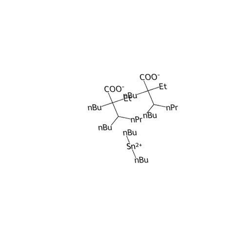 CCCCC(CCC)C(CC)(CCCC)C(=O)[O-].CCCCC(CCC)C(CC)(CCCC)C(=O)[O-].CCC[CH2][Sn+2][CH2]CCC